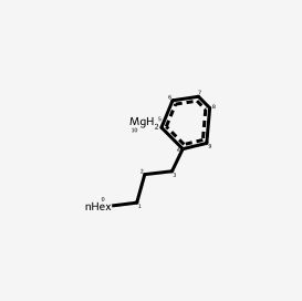 CCCCCCCCCc1ccccc1.[MgH2]